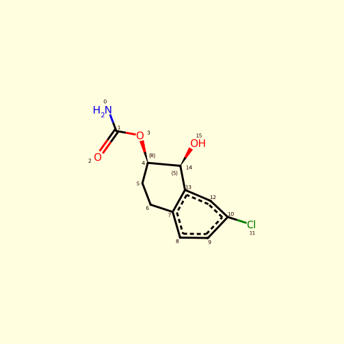 NC(=O)O[C@@H]1CCc2ccc(Cl)cc2[C@@H]1O